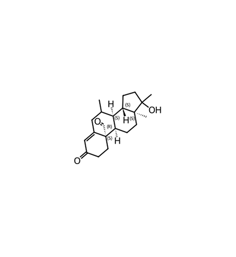 CC1CC2=CC(=O)CC[C@]2(C=O)[C@@H]2CC[C@@]3(C)[C@@H](CCC3(C)O)[C@H]12